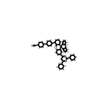 N#Cc1ccc(-c2ccc(-c3cccc4c3Oc3ccc(-c5cc(-c6ccccc6)nc(-c6ccccc6)n5)cc3C43c4ccccc4-c4ccccc43)cc2)cc1